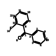 O=C(c1ccncc1)c1cccnc1F